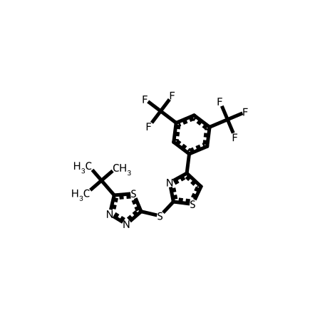 CC(C)(C)c1nnc(Sc2nc(-c3cc(C(F)(F)F)cc(C(F)(F)F)c3)cs2)s1